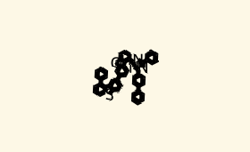 c1ccc(-c2ccc(-c3nc(-c4ccccc4)nc(-c4cccc5oc6cc(-c7ccc8sc9cccc(-c%10ccccc%10)c9c8c7)ccc6c45)n3)cc2)cc1